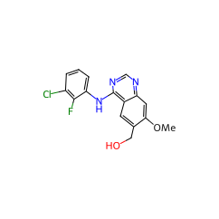 COc1cc2ncnc(Nc3cccc(Cl)c3F)c2cc1CO